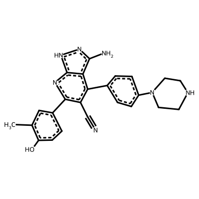 Cc1cc(-c2nc3[nH]nc(N)c3c(-c3ccc(N4CCNCC4)cc3)c2C#N)ccc1O